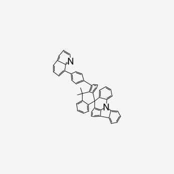 CC1(C)c2ccccc2C2(c3ccccc3-n3c4ccccc4c4cccc2c43)c2cccc(-c3ccc(-c4cccc5cccnc45)cc3)c21